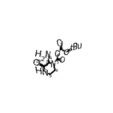 CC(C)(C)OC(=O)OC(=O)N1CCNC(=O)C1N